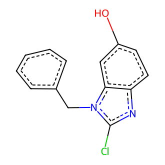 Oc1ccc2nc(Cl)n(Cc3ccccc3)c2c1